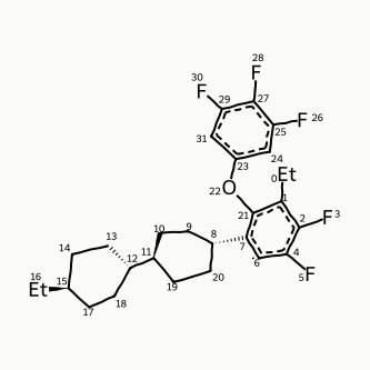 CCc1c(F)c(F)[c]c([C@H]2CC[C@H]([C@H]3CC[C@H](CC)CC3)CC2)c1Oc1cc(F)c(F)c(F)c1